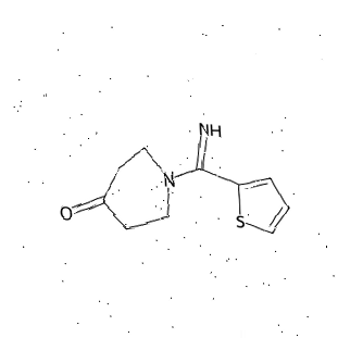 N=C(c1cccs1)N1CCC(=O)CC1